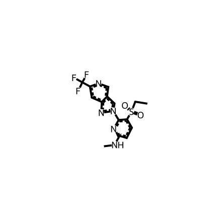 CCS(=O)(=O)c1ccc(NC)nc1-n1cc2cnc(C(F)(F)F)cc2n1